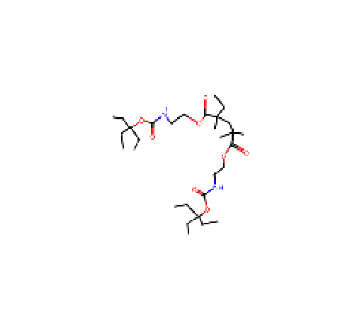 CCC(CC)(CC)OC(=O)NCCOC(=O)C(C)(C)CC(C)(CC)C(=O)OCCNC(=O)OC(CC)(CC)CC